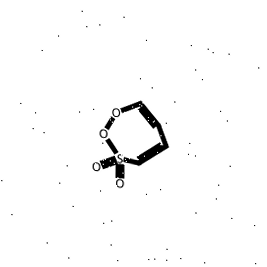 O=S1(=O)C=CC=COO1